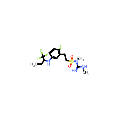 CCC(Nc1ccc(F)c(CCS(=O)(=O)N(C)C(=N)NC)c1)C(F)(F)F